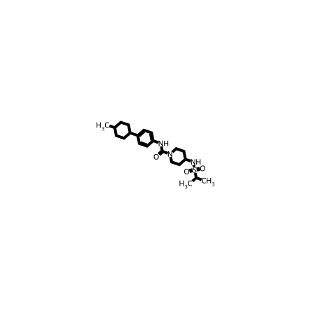 CC1CCC(c2ccc(NC(=O)N3CCC(NS(=O)(=O)C(C)C)CC3)cc2)CC1